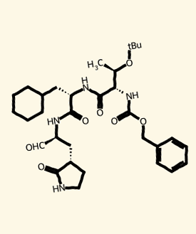 C[C@@H](OC(C)(C)C)[C@H](NC(=O)OCc1ccccc1)C(=O)N[C@@H](CC1CCCCC1)C(=O)N[C@H](C=O)C[C@@H]1CCNC1=O